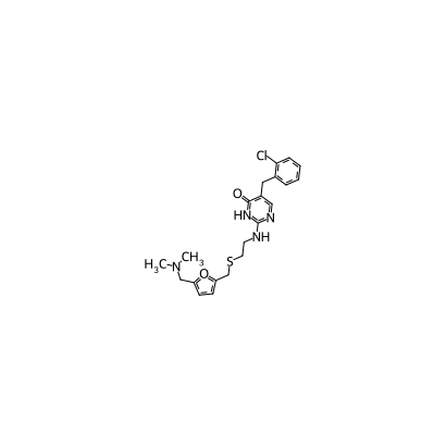 CN(C)Cc1ccc(CSCCNc2ncc(Cc3ccccc3Cl)c(=O)[nH]2)o1